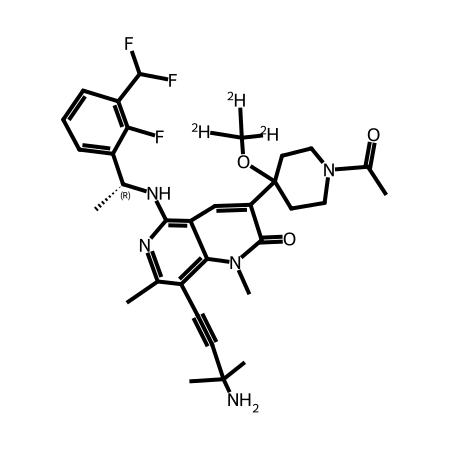 [2H]C([2H])([2H])OC1(c2cc3c(N[C@H](C)c4cccc(C(F)F)c4F)nc(C)c(C#CC(C)(C)N)c3n(C)c2=O)CCN(C(C)=O)CC1